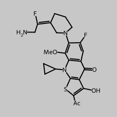 COc1c(N2CCC/C(=C(\F)CN)C2)c(F)cc2c(=O)c3c(O)c(C(C)=O)sc3n(C3CC3)c12